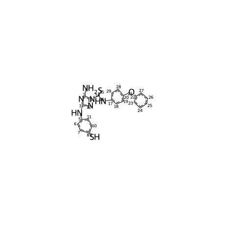 Nc1nc(Nc2ccc(S)cc2)nn1C(=S)Nc1ccc(Oc2ccccc2)cc1